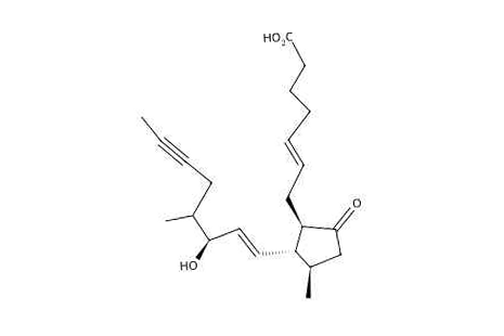 CC#CCC(C)[C@H](O)C=C[C@H]1[C@H](C)CC(=O)[C@@H]1CC=CCCCC(=O)O